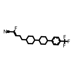 N#CC(F)=CCCC1CCC(C2CCC(c3ccc(C(F)(F)F)cc3)CC2)CC1